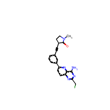 CN1CCC(C#Cc2cccc(-c3ccc4nc(CF)nc(N)c4n3)c2)C1=O